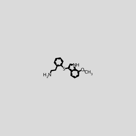 COc1cccc2c(Sc3ccccc3CCN)c[nH]c12